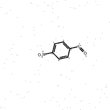 O=[S+]c1ccc([N+](=O)[O-])cc1